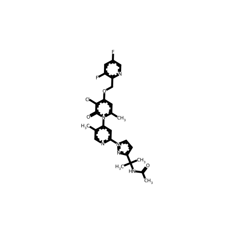 CC(=O)NC(C)(C)c1ccn(-c2cc(-n3c(C)cc(OCc4ncc(F)cc4F)c(Cl)c3=O)c(C)cn2)n1